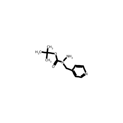 CC(C)(C)OC(=O)N(N)Cc1ccncc1